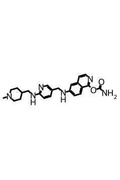 CN1CCC(CNc2ccc(CNc3ccc4c(OC(N)=O)nccc4c3)cn2)CC1